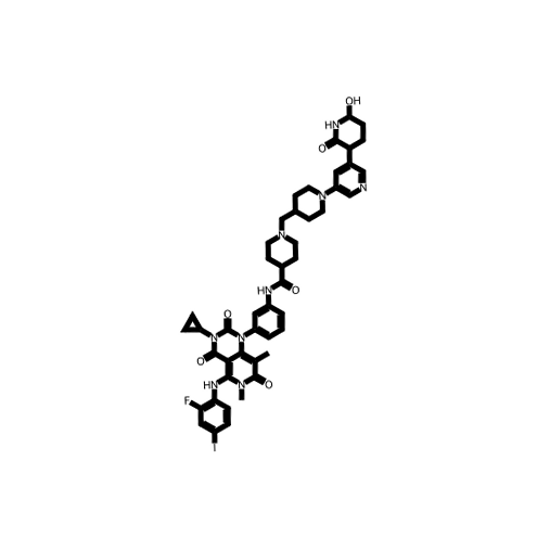 Cc1c(=O)n(C)c(Nc2ccc(I)cc2F)c2c(=O)n(C3CC3)c(=O)n(-c3cccc(NC(=O)C4CCN(CC5CCN(c6cncc(C7CCC(O)NC7=O)c6)CC5)CC4)c3)c12